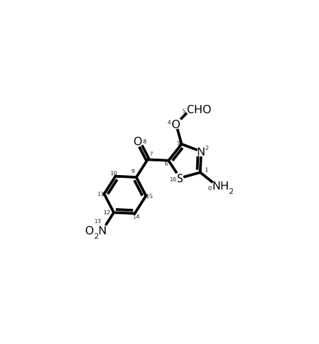 Nc1nc(OC=O)c(C(=O)c2ccc([N+](=O)[O-])cc2)s1